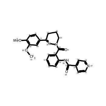 COc1ccc(C2=NN(C(=O)c3ccccc3NC(=O)c3ccncc3)CCC2)cc1OC(F)(F)F